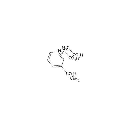 CC(=O)O.CC(=O)O.O=C(O)c1ccccc1.[CaH2]